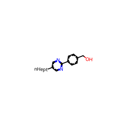 CCCCCCCc1cnc(-c2ccc(CO)cc2)nc1